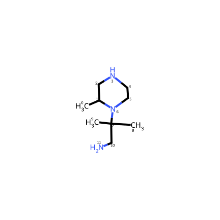 CC1CNCCN1C(C)(C)CN